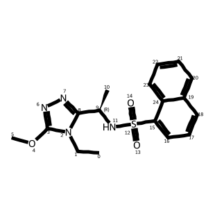 CCn1c(OC)nnc1[C@@H](C)NS(=O)(=O)c1cccc2ccccc12